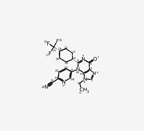 CCn1cnc2c(=O)nc([C@H]3CC[C@@H](C(F)(F)F)CC3)n(-c3ccc(C#N)nc3)c21